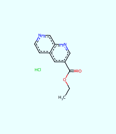 CCOC(=O)c1cnc2cnccc2c1.Cl